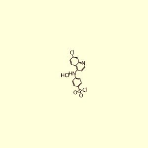 Cl.O=S(=O)(Cl)c1ccc(Nc2ccnc3cc(Cl)ccc23)cc1